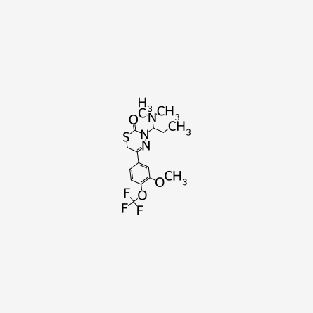 CCC(N(C)C)N1N=C(c2ccc(OC(F)(F)F)c(OC)c2)CSC1=O